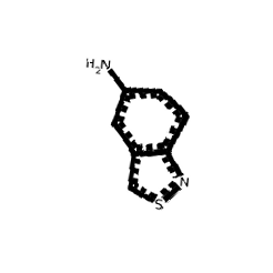 Nc1ccc2nscc2c1